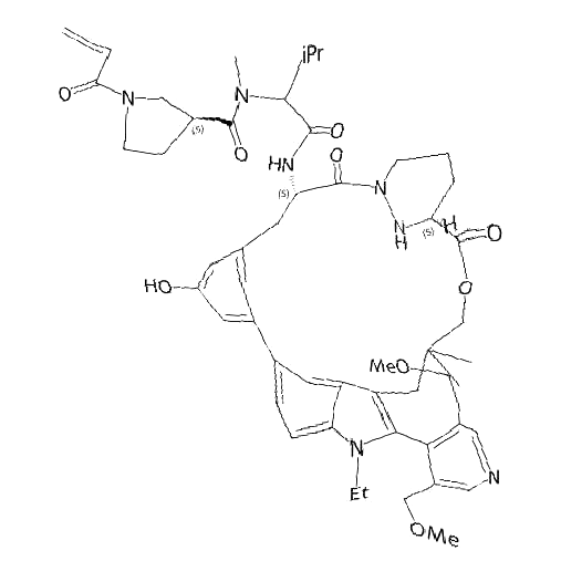 C=CC(=O)N1CC[C@H](C(=O)N(C)C(C(=O)N[C@H]2Cc3cc(O)cc(c3)-c3ccc4c(c3)c(c(-c3c(COC)cncc3COC)n4CC)CC(C)(C)COC(=O)[C@@H]3CCCN(N3)C2=O)C(C)C)C1